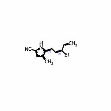 C=C/C(=C\C=c1\[nH]c(C#N)cc1=C)CC